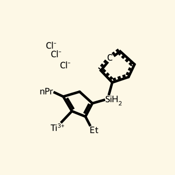 CCCC1=[C]([Ti+3])C(CC)=C([SiH2]c2ccccc2)C1.[Cl-].[Cl-].[Cl-]